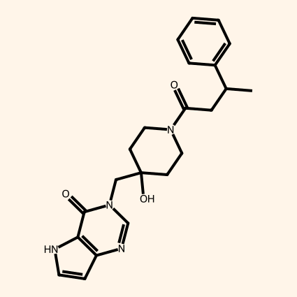 CC(CC(=O)N1CCC(O)(Cn2cnc3cc[nH]c3c2=O)CC1)c1ccccc1